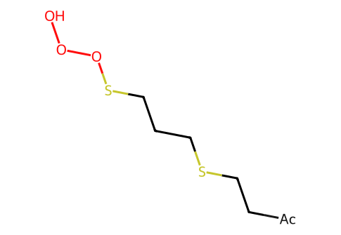 CC(=O)CCSCCCSOOO